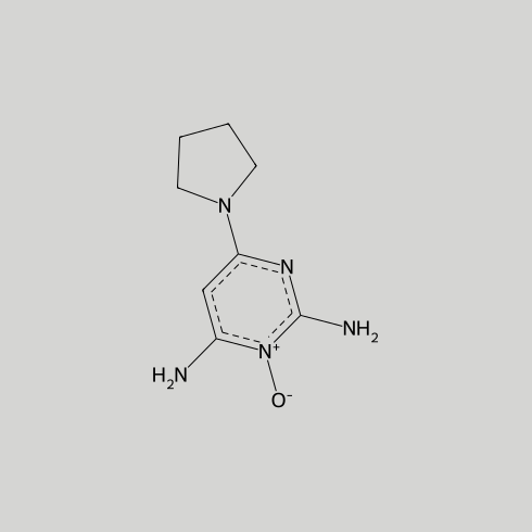 Nc1cc(N2CCCC2)nc(N)[n+]1[O-]